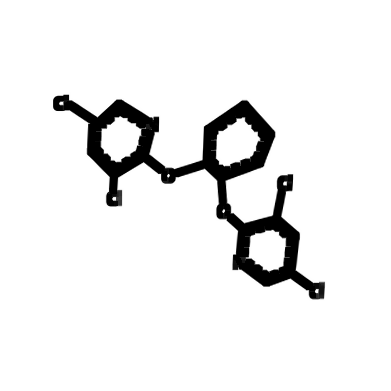 Clc1cnc(Oc2ccccc2Oc2ncc(Cl)cc2Cl)c(Cl)c1